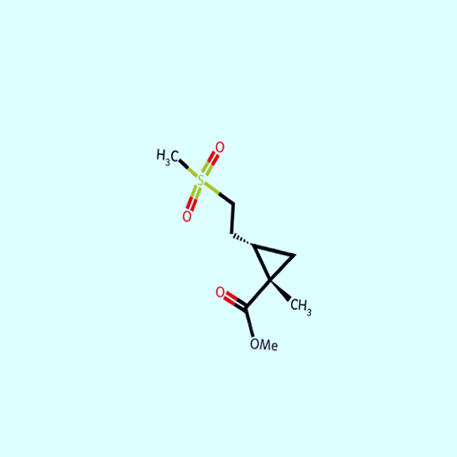 COC(=O)[C@@]1(C)C[C@H]1CCS(C)(=O)=O